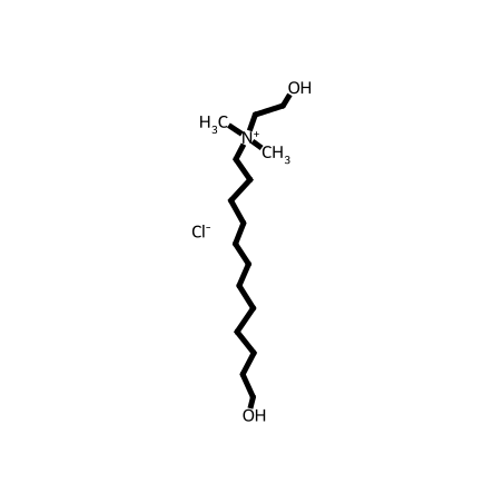 C[N+](C)(CCO)CCCCCCCCCCCCO.[Cl-]